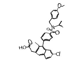 COc1ccc(CN(C(C)C)S(=O)(=O)c2ccc(-c3c(C)c(CC(=O)O)cc4ccc(Cl)cc34)cc2)cc1